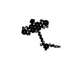 CCCCCCCCCCCCOc1cc(C)cc(C(=O)OCCCCCCNc2cc3c4c(ccc5c6c(-c7cccs7)cc7c8c(ccc(c2c45)c86)C(=O)N(c2c(C(C)C)cccc2C(C)C)C7=O)C(=O)N(c2c(C(C)C)cccc2C(C)C)C3=O)c1